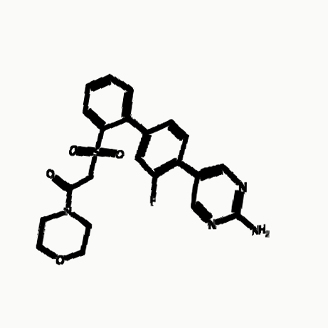 Nc1ncc(-c2ccc(-c3ccccc3S(=O)(=O)CC(=O)N3CCOCC3)cc2F)cn1